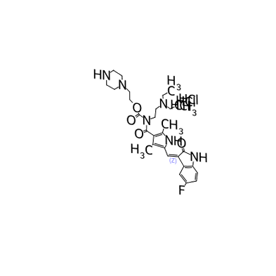 CCN(CC)CCN(C(=O)OCCN1CCNCC1)C(=O)c1c(C)[nH]c(/C=C2\C(=O)Nc3ccc(F)cc32)c1C.Cl.Cl.Cl